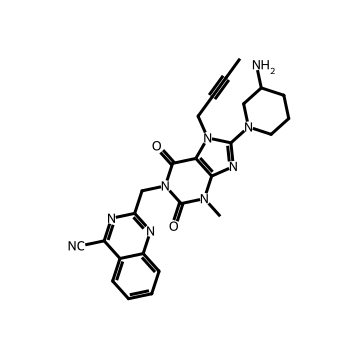 CC#CCn1c(N2CCCC(N)C2)nc2c1c(=O)n(Cc1nc(C#N)c3ccccc3n1)c(=O)n2C